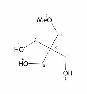 COCC(CO)(CO)CO